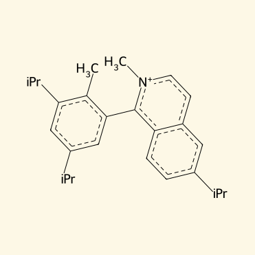 Cc1c(-c2c3ccc(C(C)C)cc3cc[n+]2C)cc(C(C)C)cc1C(C)C